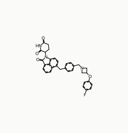 O=C1CCC(N2C(=O)c3cccc4c(Cc5ccc(CN6CC(Oc7ccc(F)cc7)C6)cc5)ccc2c34)C(=O)N1